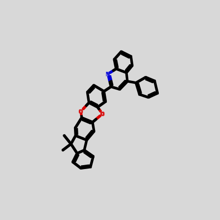 CC1(C)c2ccccc2-c2cc3c(cc21)Oc1ccc(-c2cc(-c4ccccc4)c4ccccc4n2)cc1O3